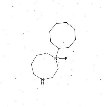 F[N+]1(C2CCCCCCC2)CCCCNCC1